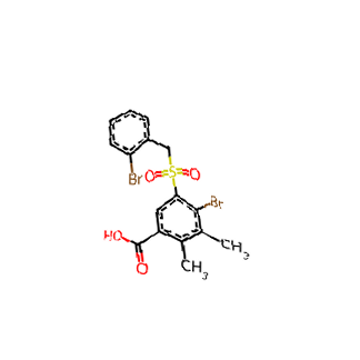 Cc1c(C(=O)O)cc(S(=O)(=O)Cc2ccccc2Br)c(Br)c1C